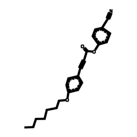 CCCCCCCOc1ccc(C#CC(=O)Oc2ccc(C#N)cc2)cc1